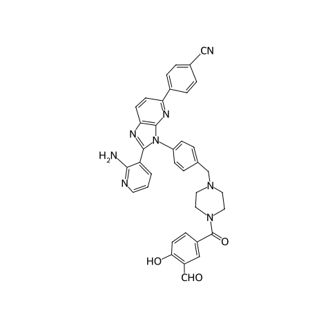 N#Cc1ccc(-c2ccc3nc(-c4cccnc4N)n(-c4ccc(CN5CCN(C(=O)c6ccc(O)c(C=O)c6)CC5)cc4)c3n2)cc1